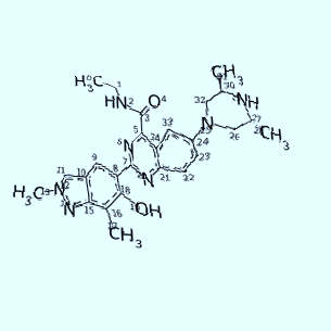 CCNC(=O)c1nc(-c2cc3cn(C)nc3c(C)c2O)nc2ccc(N3C[C@@H](C)N[C@H](C)C3)cc12